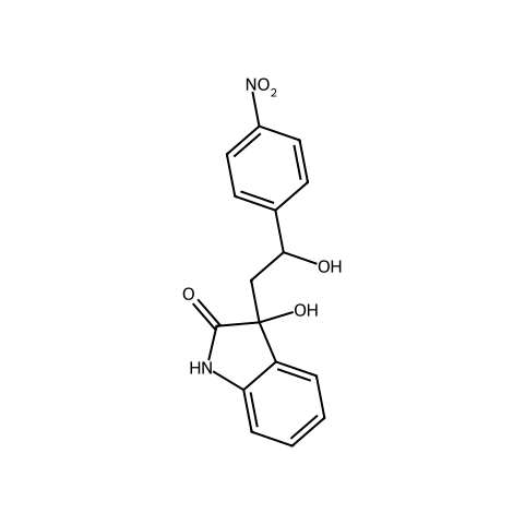 O=C1Nc2ccccc2C1(O)CC(O)c1ccc([N+](=O)[O-])cc1